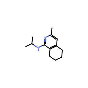 Cc1cc2c(c(NC(C)C)n1)CCCC2